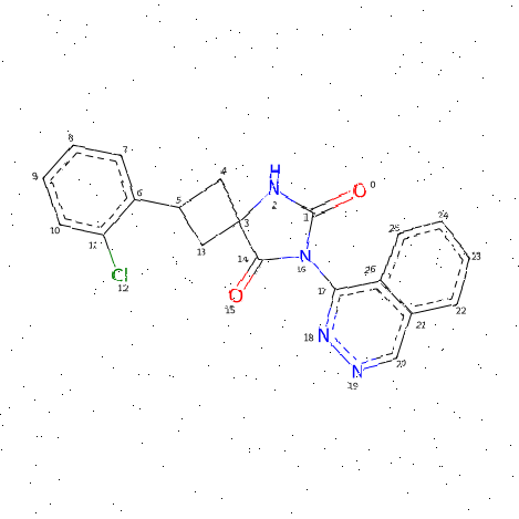 O=C1NC2(CC(c3ccccc3Cl)C2)C(=O)N1c1nncc2ccccc12